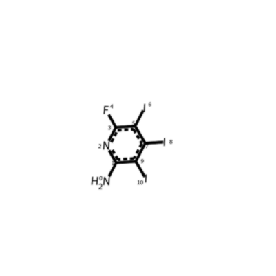 Nc1nc(F)c(I)c(I)c1I